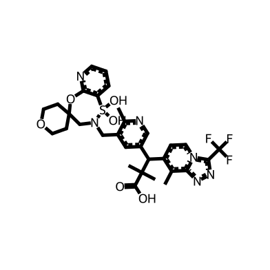 Cc1ncc(C(c2ccn3c(C(F)(F)F)nnc3c2C)C(C)(C)C(=O)O)cc1CN1CC2(CCOCC2)Oc2ncccc2S1(O)O